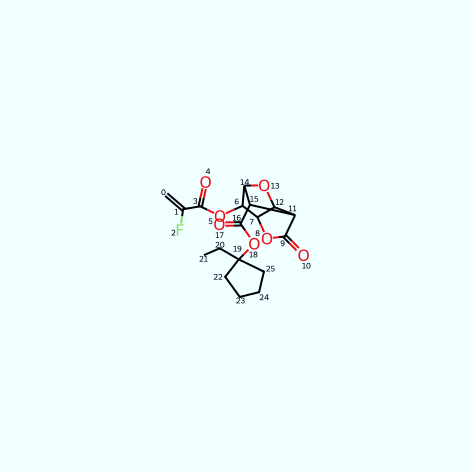 C=C(F)C(=O)OC1C2OC(=O)C3C2OC1C3C(=O)OC1(CC)CCCC1